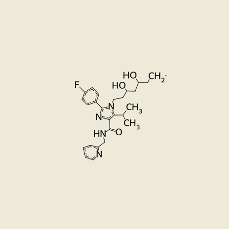 [CH2]CC(O)CC(O)CCn1c(-c2ccc(F)cc2)nc(C(=O)NCc2ccccn2)c1C(C)C